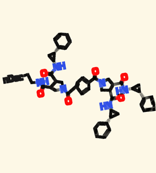 [CH2]CCCCCCCCCCCNC(=O)C1CN(C(=O)c2ccc(C(=O)N3CC(C(=O)N[C@@H]4C[C@@H]4c4ccccc4)C(C(=O)N[C@@H]4C[C@@H]4c4ccccc4)C3)cc2)CC1C(=O)N[C@@H]1C[C@@H]1c1ccccc1